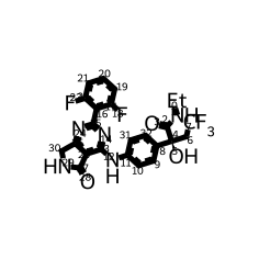 CCNC(=O)[C@@](O)(CC(F)(F)F)c1ccc(Nc2nc(-c3c(F)cccc3F)nc3c2C(=O)NC3)cc1